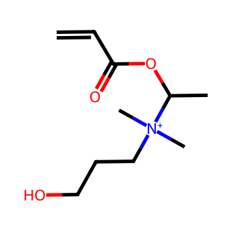 C=CC(=O)OC(C)[N+](C)(C)CCCO